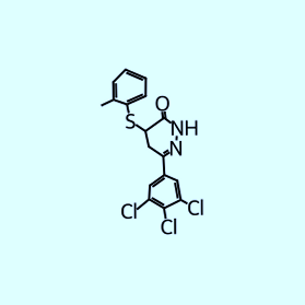 Cc1ccccc1SC1CC(c2cc(Cl)c(Cl)c(Cl)c2)=NNC1=O